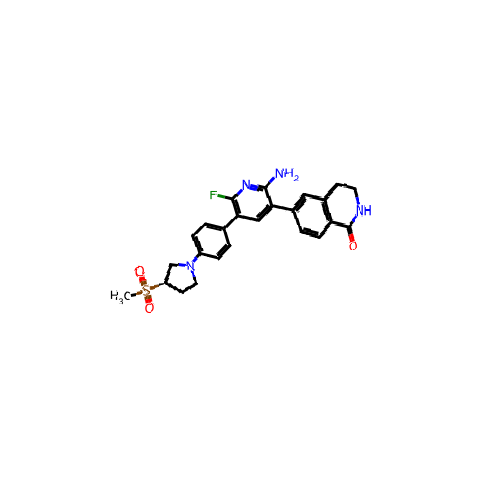 CS(=O)(=O)[C@@H]1CCN(c2ccc(-c3cc(-c4ccc5c(c4)CCNC5=O)c(N)nc3F)cc2)C1